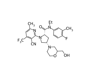 CCN(C(=O)[C@@H]1C[C@H](N2CCOC(CO)C2)CN1c1nc(C)cc(C(F)(F)F)c1C#N)c1ccc(F)c(C)c1